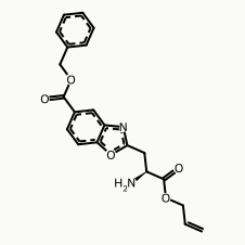 C=CCOC(=O)[C@@H](N)Cc1nc2cc(C(=O)OCc3ccccc3)ccc2o1